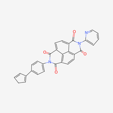 O=C1c2ccc3c4c(ccc(c24)C(=O)N1c1ccc(C2=CCC=C2)cc1)C(=O)N(c1ccccn1)C3=O